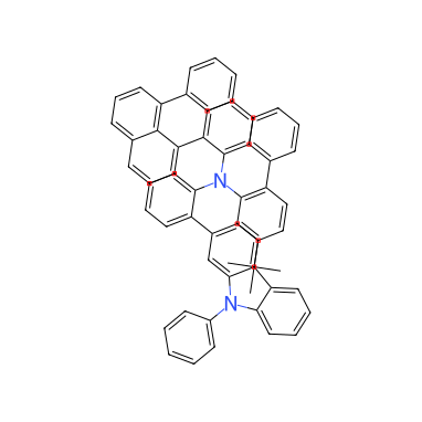 CC(C)(C)c1ccc(-c2ccccc2)c(N(c2ccccc2-c2ccc3c4ccccc4n(-c4ccccc4)c3c2)c2ccccc2-c2cccc3cccc(-c4ccccc4)c23)c1